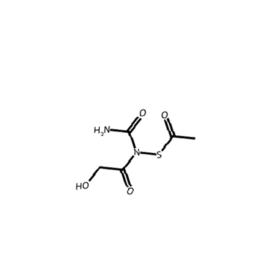 CC(=O)SN(C(N)=O)C(=O)CO